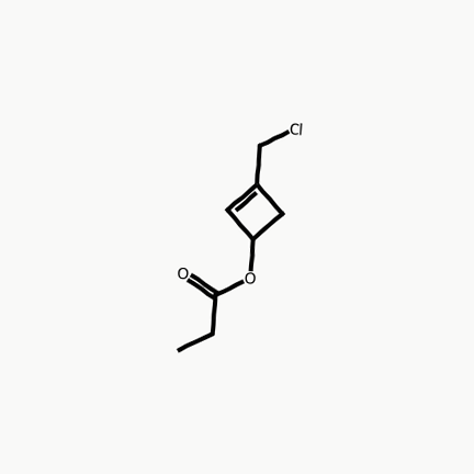 CCC(=O)OC1C=C(CCl)C1